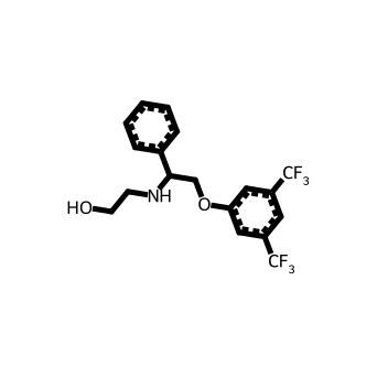 OCCNC(COc1cc(C(F)(F)F)cc(C(F)(F)F)c1)c1ccccc1